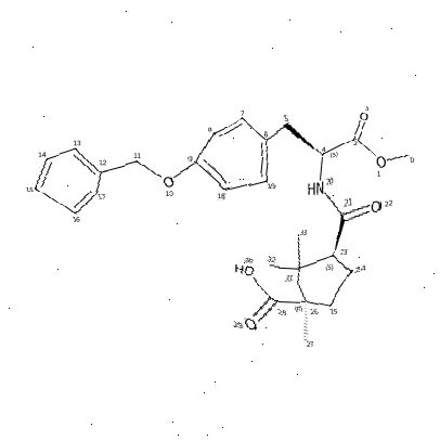 COC(=O)[C@H](Cc1ccc(OCc2ccccc2)cc1)NC(=O)[C@H]1CC[C@@](C)(C(=O)O)C1(C)C